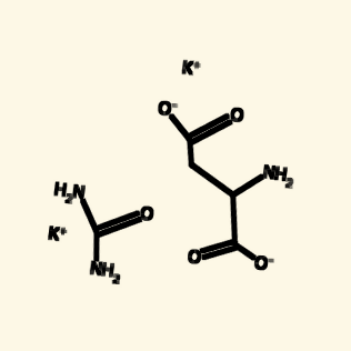 NC(CC(=O)[O-])C(=O)[O-].NC(N)=O.[K+].[K+]